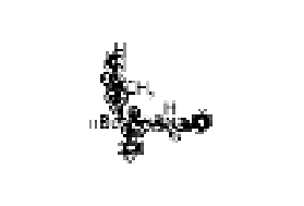 CCCCC(CO[PH](=O)OC(C)C(=O)OC(=O)[C@@H]1CCCN1)NC(=O)C(CCCCNC(=O)OCc1ccccc1)OC(=O)N1CCOCC1